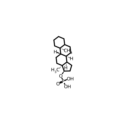 C[C@]12CC[C@H]3[C@@H](CCC4CCCC[C@@]43C)[C@H]1CC[C@H]2OP(=O)(O)O